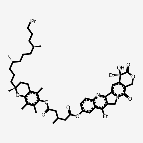 CCc1c2c(nc3ccc(OC(=O)CC(C)CC(=O)Oc4c(C)c(C)c5c(c4C)CC[C@@](C)(CCC[C@H](C)CCC[C@H](C)CCCC(C)C)O5)cc13)-c1cc3c(c(=O)n1C2)COC(=O)[C@]3(O)CC